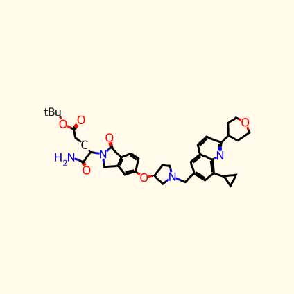 CC(C)(C)OC(=O)CC[C@@H](C(N)=O)N1Cc2cc(O[C@H]3CCN(Cc4cc(C5CC5)c5nc(C6CCOCC6)ccc5c4)C3)ccc2C1=O